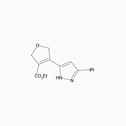 CCOC(=O)C1=C(c2cc(C(C)C)n[nH]2)COC1